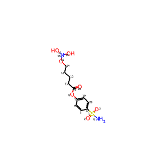 NS(=O)(=O)c1ccc(OC(=O)CCCCON(O)O)cc1